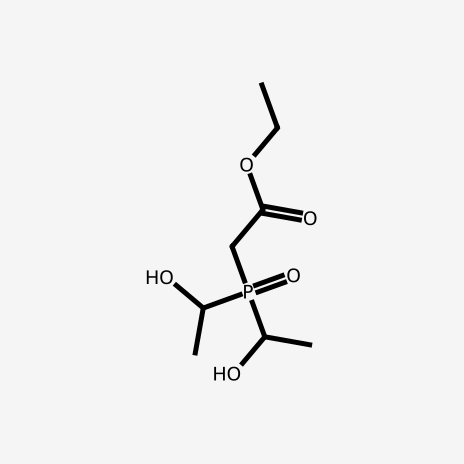 CCOC(=O)CP(=O)(C(C)O)C(C)O